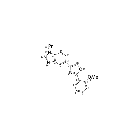 COc1ccccc1-c1nc(-c2ccc3c(c2)nnn3C(C)C)co1